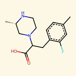 Cc1ccc(CC(C(=O)O)N2CCN[C@@H](C)C2)c(F)c1